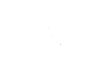 C(=NN1NC1c1ccccc1)c1ccccc1